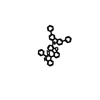 c1ccc(C2=Nc3ccccc3C(c3cccc4oc5c(-n6c7ccc(-c8ccccc8)cc7c7cc(-c8ccccc8)ccc76)cccc5c34)N2)cc1